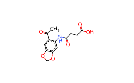 CC(=O)c1cc2c(cc1NC(=O)CCC(=O)O)OCO2